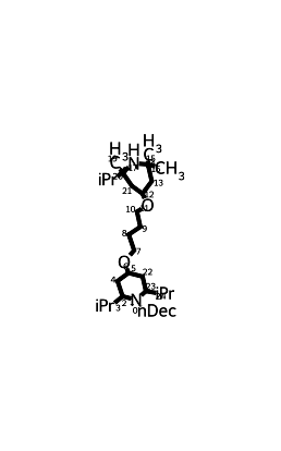 CCCCCCCCCCN1C(C(C)C)CC(OCCCCOC2CC(C)(C)NC(C)(C(C)C)C2)CC1C(C)C